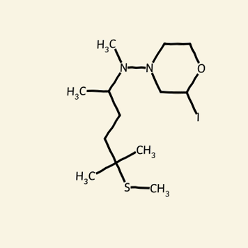 CSC(C)(C)CCC(C)N(C)N1CCOC(I)C1